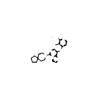 Cc1nccc(Sc2cnc(N3CCC4(CCC[C@H]4N)CC3)n3ccnc23)c1Cl